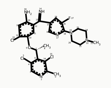 Cc1ncc(Cl)c([C@@H](C)Oc2cc(C(=N)c3cnc(N4CCN(C)CC4)c(F)c3)c(N)cc2Cl)c1Cl